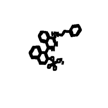 O=S(=O)(Oc1ccc2ccccc2c1-c1nnc(NCCc2ccccc2)c2ccccc12)C(F)(F)F